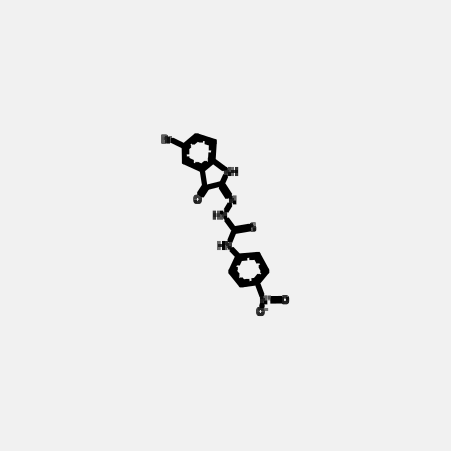 O=C1C(=NNC(=S)Nc2ccc([N+](=O)[O-])cc2)Nc2ccc(Br)cc21